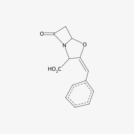 O=C(O)C1/C(=C\c2ccccc2)OC2CC(=O)N21